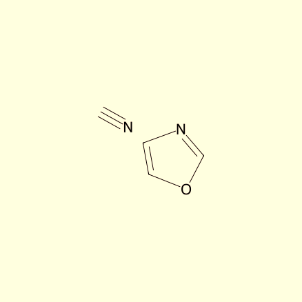 C#N.c1cocn1